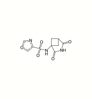 O=C1NC(=O)C2(NS(=O)(=O)c3cocn3)CC1C2